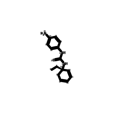 CC[C@@]1(NC(=O)Nc2ccc(N)cc2)C=CC=CC1